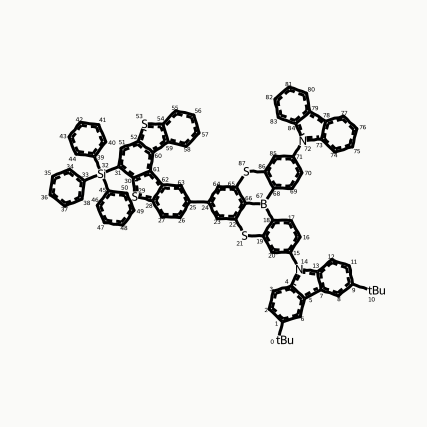 CC(C)(C)c1ccc2c(c1)c1cc(C(C)(C)C)ccc1n2-c1ccc2c(c1)Sc1cc(-c3ccc4sc5c([Si](c6ccccc6)(c6ccccc6)c6ccccc6)cc6sc7ccccc7c6c5c4c3)cc3c1B2c1ccc(-n2c4ccccc4c4ccccc42)cc1S3